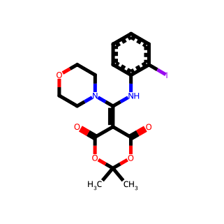 CC1(C)OC(=O)C(=C(Nc2ccccc2I)N2CCOCC2)C(=O)O1